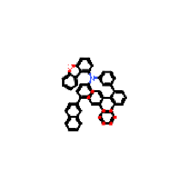 c1ccc(-c2ccccc2-c2c(-c3ccccc3)cccc2-c2cccc(N(c3ccc(-c4ccc5ccccc5c4)cc3)c3cccc4oc5ccccc5c34)c2)cc1